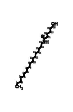 CCCCCCCCCCCCCCCCCCNC(=O)CCCCCO